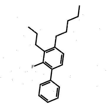 CCCCCc1ccc(-c2ccccc2)c(F)c1CCC